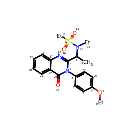 CCOc1ccc(-n2c(C(C)N(CC)S(=O)(=O)CC)nc3ccccc3c2=O)cc1